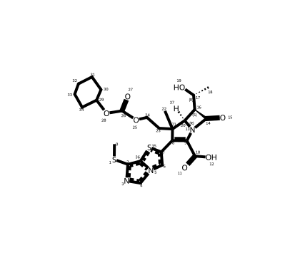 CSc1ncn2cc(C3=C(C(=O)O)N4C(=O)[C@H]([C@@H](C)O)[C@@H]4C3(C)CCOC(=O)OC3CCCCC3)sc12